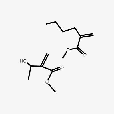 C=C(C(=O)OC)C(C)O.C=C(CCCC)C(=O)OC